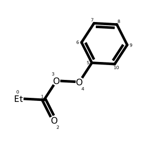 CCC(=O)OOc1ccccc1